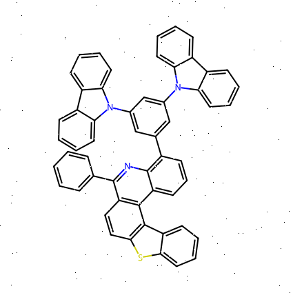 c1ccc(-c2nc3c(-c4cc(-n5c6ccccc6c6ccccc65)cc(-n5c6ccccc6c6ccccc65)c4)cccc3c3c2ccc2sc4ccccc4c23)cc1